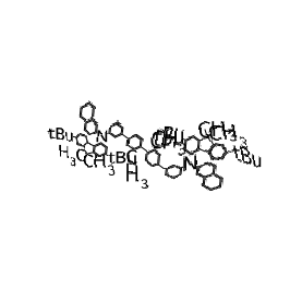 Cc1cc(-c2cccc(N(c3ccc4ccccc4c3)c3cc(C(C)(C)C)cc4c3-c3ccc(C(C)(C)C)cc3C4(C)C)c2)ccc1-c1ccc(-c2cccc(N(c3ccc4ccccc4c3)c3cc(C(C)(C)C)cc4c3-c3ccc(C(C)(C)C)cc3C4(C)C)c2)cc1C